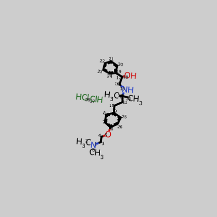 CN(C)CCOc1ccc(CCC(C)(C)NCC(O)c2ccccc2)cc1.Cl.Cl